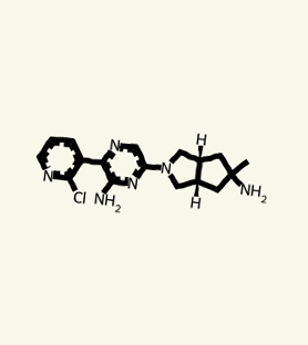 CC1(N)C[C@H]2CN(c3cnc(-c4cccnc4Cl)c(N)n3)C[C@H]2C1